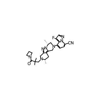 C[C@@H]1CN(c2ccc(C#N)n3ncc(F)c23)Cc2c3c(nn21)CN(CC(C)(C)C(=O)N1CCC1)[C@@H](C)C3